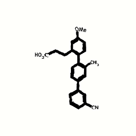 COc1ccc(-c2ccc(-c3cccc(C#N)c3)cc2C)c(CCC(=O)O)c1